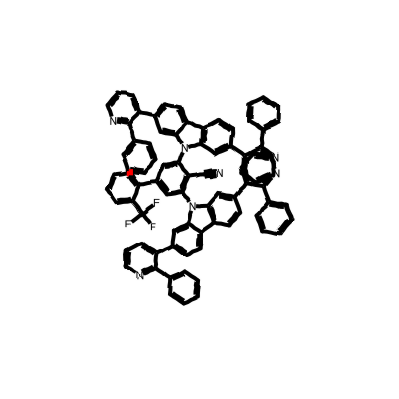 N#Cc1c(-n2c3cc(-c4cccnc4-c4ccccc4)ccc3c3ccc(-c4cccnc4-c4ccccc4)cc32)cc(-c2ccccc2C(F)(F)F)cc1-n1c2cc(-c3cccnc3-c3ccccc3)ccc2c2ccc(-c3cccnc3-c3ccccc3)cc21